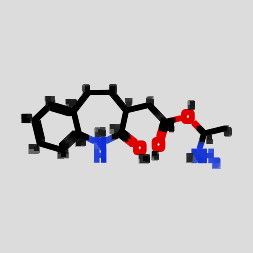 CC(N)OC(=O)CC1CCc2ccccc2NC1=O